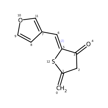 C=C1CC(=O)/C(=C/c2ccoc2)S1